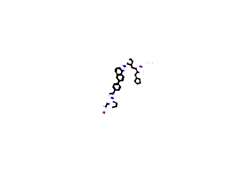 COC(=O)N[C@H](C(=O)N1CCC[C@H]1c1ncc(-c2ccc(-c3ccc4c(ccc5nc([C@@H]6SCCC6C(=O)[C@@H](NC(=O)OC)C(C)CC6CCCC6)[nH]c54)c3)cc2)[nH]1)C(C)C